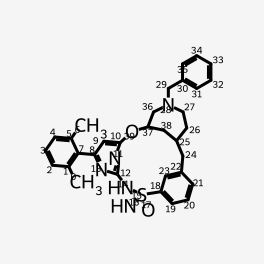 Cc1cccc(C)c1-c1cc2nc(n1)NS(=N)(=O)c1cccc(c1)CC1CCN(Cc3ccccc3)CC(C1)O2